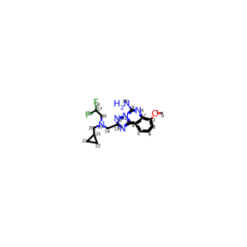 COc1cccc2c1nc(N)n1nc(CN(CC(F)F)CC3CC3)nc21